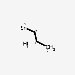 CC[CH2][Sn].I